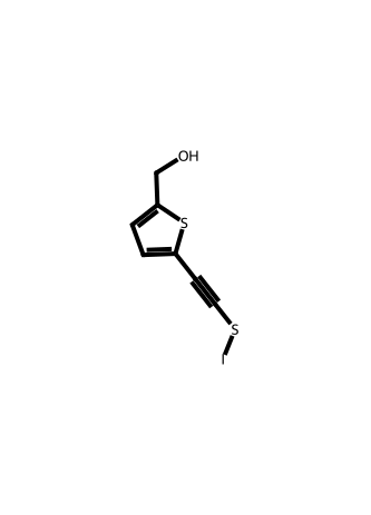 OCc1ccc(C#CSI)s1